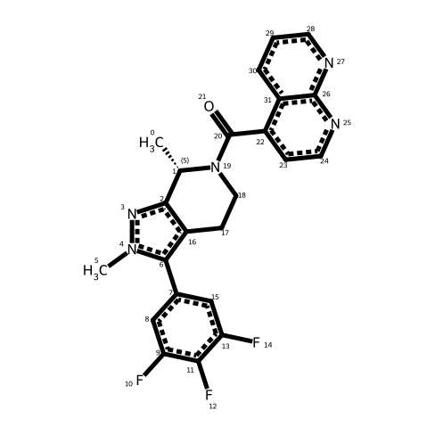 C[C@H]1c2nn(C)c(-c3cc(F)c(F)c(F)c3)c2CCN1C(=O)c1ccnc2ncccc12